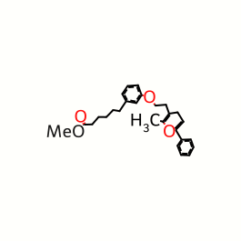 COC(=O)CCCCCc1cccc(OCCC2=C(C)OC(c3ccccc3)=CC2)c1